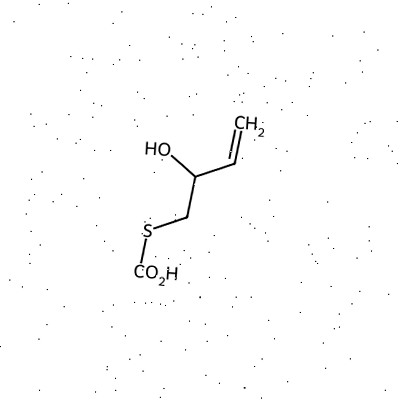 C=CC(O)CSC(=O)O